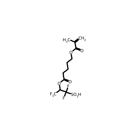 C=C(C)C(=O)OCCCCC(=O)OC(C(F)(F)F)C(F)(F)S(=O)(=O)O